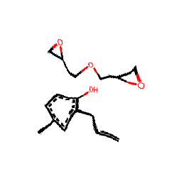 C(OCC1CO1)C1CO1.C=CCc1cc(C)ccc1O